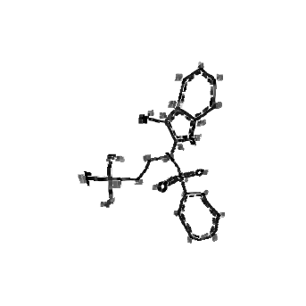 O=S(=O)(c1ccccc1)N(CCC(F)(F)F)c1sc2ccccc2c1Br